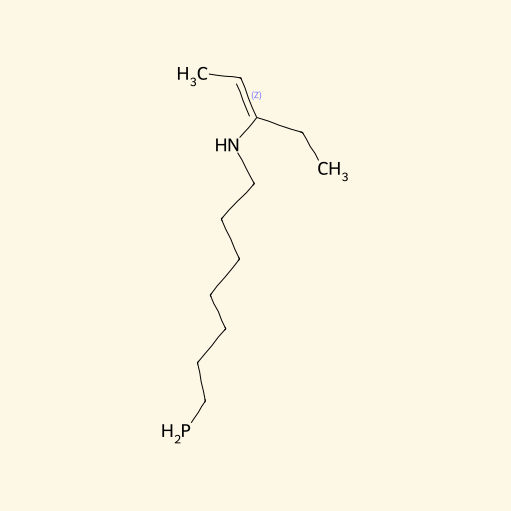 C/C=C(/CC)NCCCCCCCP